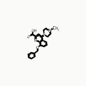 CN1CCN(c2cc(C(=O)O)nc3c(OCc4ccccc4)cccc23)CC1